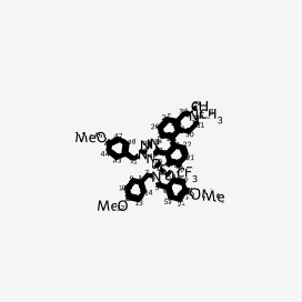 COc1ccc(CN(Cc2ccc(OC)cc2)S(=O)(=O)c2c(C(F)(F)F)ccc(-c3cccc4c3CC[N+](C)(C)C4)c2-c2nnn(Cc3ccc(OC)cc3)n2)cc1